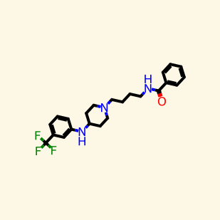 O=C(NCCCCN1CCC(Nc2cccc(C(F)(F)F)c2)CC1)c1ccccc1